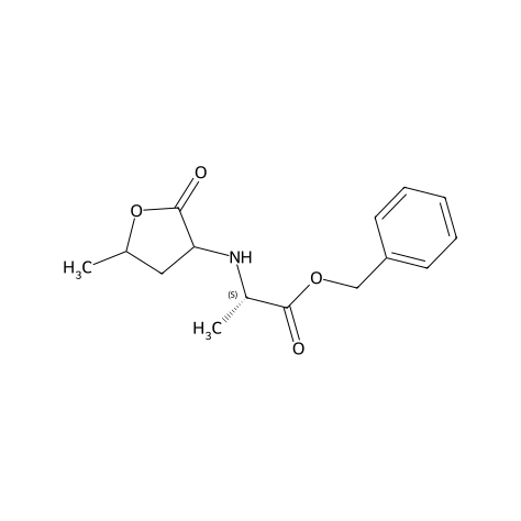 CC1CC(N[C@@H](C)C(=O)OCc2ccccc2)C(=O)O1